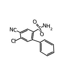 N#Cc1cc(S(N)(=O)=O)c(-c2ccccc2)cc1Cl